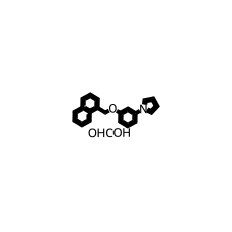 O=CO.c1cc(OCc2cccc3ccccc23)cc(-n2cccc2)c1